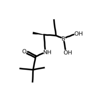 CC(B(O)O)[C@H](C)NC(=O)C(C)(C)C